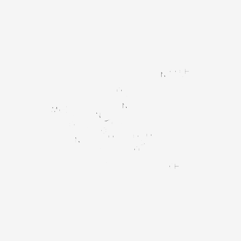 COC(=O)CC(NC(=O)[C@@H]1CCCN(C(=O)CCC2CCN(C(=O)O)CC2)C1)c1cncc(-c2ccccc2OCCOS(=O)(=O)c2ccc(C)cc2)c1